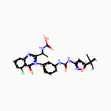 CC(NC(=O)O)c1nc2cccc(Cl)c2c(=O)n1-c1cccc(NC(=O)Nc2cc(C(C)(C)C)on2)c1